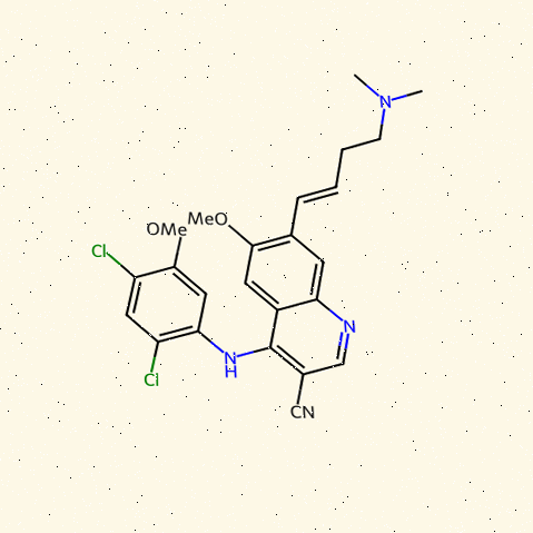 COc1cc(Nc2c(C#N)cnc3cc(/C=C/CCN(C)C)c(OC)cc23)c(Cl)cc1Cl